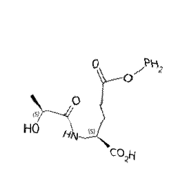 C[C@H](O)C(=O)N[C@@H](CCC(=O)OP)C(=O)O